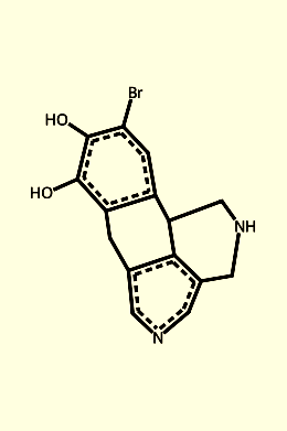 Oc1c(Br)cc2c(c1O)Cc1cncc3c1C2CNC3